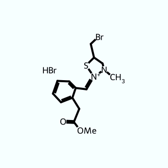 Br.COC(=O)Cc1ccccc1C=[N+]1SC(CBr)CN1C